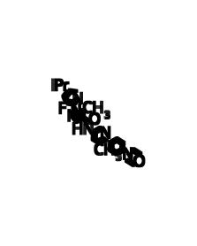 Cc1cc(NC(=O)c2cnn(-c3ncc(C(C)C)cc3F)c2C)cnc1[C@H]1CC[C@H](N2CCOCC2)CC1